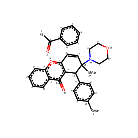 CCC(=O)c1ccccc1.CSc1ccc(C2c3c(oc4ccccc4c3=O)C=CC2(SC)N2CCOCC2)cc1